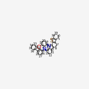 C1=Cc2c(sc3c2ccc2c4cccc5c4n(c23)-c2ccccc2N5c2cccc3c2oc2ccccc23)CC1